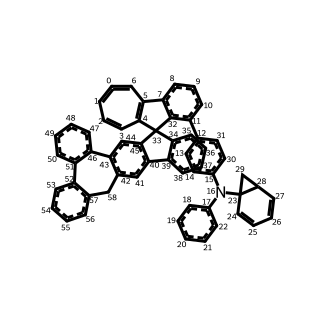 C1=CC=CC2=C(C=1)c1cccc(-c3ccc(N(c4ccccc4)C45C=CC=CC4C5)cc3)c1C21c2ccccc2-c2cc3c(cc21)-c1ccccc1-c1ccccc1C3